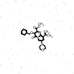 C=C(C)c1cc(N2CCOCC2)cn2c(=O)c(OCc3ccccc3)c(C(=O)OC)nc12